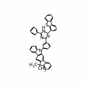 CC1(C)c2ccccc2-c2cc3c(cc21)c1ccccc1n3-c1cccc(C2=NC(c3cccc4c3sc3ccccc34)NC(c3ccccc3)=N2)c1